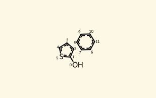 Oc1cccs1.c1ccccc1